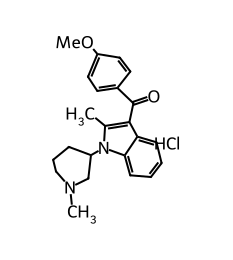 COc1ccc(C(=O)c2c(C)n(C3CCCN(C)C3)c3ccccc23)cc1.Cl